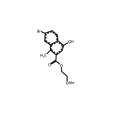 COCCOC(=O)c1cc(O)c2ccc(Br)cc2c1C